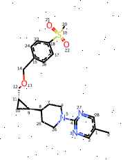 Cc1cnc(N2CCC([C@H]3C[C@@H]3COCc3ccc(S(C)(=O)=O)cc3)CC2)nc1